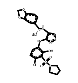 CC(C)(C)[C@@H](Nc1nsnc1Nc1ccc(Cl)c(S(=O)(=O)N2CCCC2)c1O)c1ccc2c(c1)OCO2